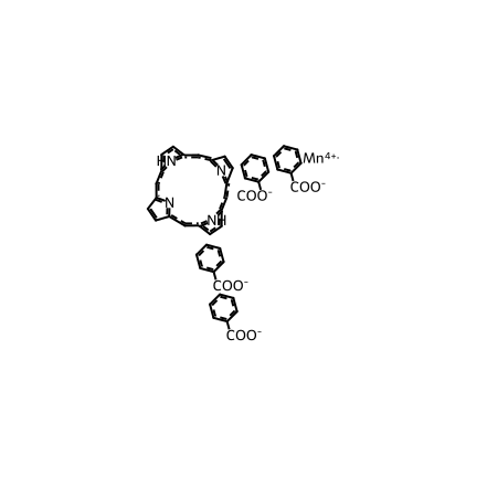 C1=Cc2cc3ccc(cc4nc(cc5ccc(cc1n2)[nH]5)C=C4)[nH]3.O=C([O-])c1ccccc1.O=C([O-])c1ccccc1.O=C([O-])c1ccccc1.O=C([O-])c1ccccc1.[Mn+4]